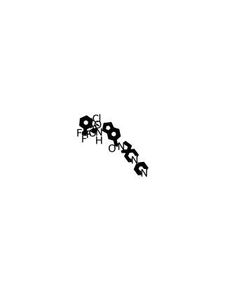 O=C(c1ccc2c(c1)[C@H](NS(=O)(=O)c1c(Cl)cccc1C(F)(F)F)CC2)N1CCC2(CCN(c3ccncc3)CC2)C1